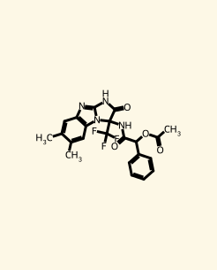 CC(=O)OC(C(=O)NC1(C(F)(F)F)C(=O)Nc2nc3cc(C)c(C)cc3n21)c1ccccc1